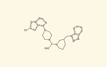 CCc1cc2c(N3CCN(C(C=O)N4CCCC(Cn5nnc6ccccc65)C4)CC3)ncnc2s1